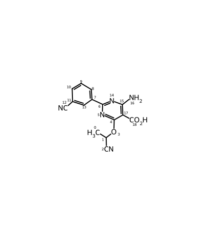 CC(C#N)Oc1nc(-c2cccc(C#N)c2)nc(N)c1C(=O)O